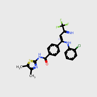 Cc1nc(NC(=O)c2ccc(/C(=C/C(=N)C(F)(F)F)Nc3ccccc3Cl)cc2)sc1C